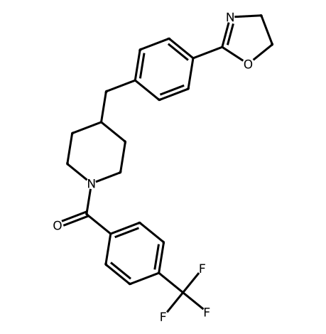 O=C(c1ccc(C(F)(F)F)cc1)N1CCC(Cc2ccc(C3=NCCO3)cc2)CC1